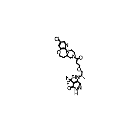 C[C@@H](COCCC(=O)N1CCN2c3ncc(Cl)cc3OCCC2C1)Nc1cn[nH]c(=O)c1C(F)(F)F